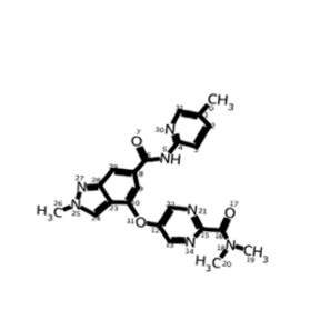 Cc1ccc(NC(=O)c2cc(Oc3cnc(C(=O)N(C)C)nc3)c3cn(C)nc3c2)nc1